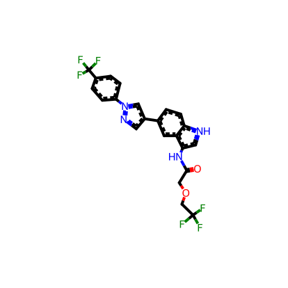 O=C(COCC(F)(F)F)Nc1c[nH]c2ccc(-c3cnn(-c4ccc(C(F)(F)F)cc4)c3)cc12